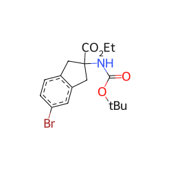 CCOC(=O)C1(NC(=O)OC(C)(C)C)Cc2ccc(Br)cc2C1